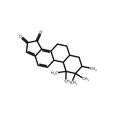 CC1CC2CCC3=C4C(=O)C(=O)C=C4C=CC3C2C(C)(C)C1(C)C